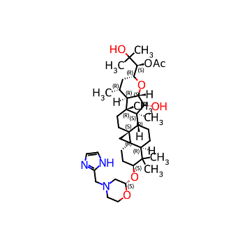 CC(=O)O[C@@H]([C@H]1C[C@@H](C)[C@H]2[C@H](O1)[C@H](O)[C@@]1(C)[C@@H]3CC[C@H]4C(C)(C)[C@@H](O[C@H]5CN(Cc6ncc[nH]6)CCO5)CC[C@@]45C[C@@]35CC[C@]21C)C(C)(C)O